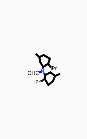 CC1CCC(C(C)C)C(N([C]=O)C2CC(C)CCC2C(C)C)C1